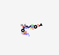 C[C@@H](/C=C/c1cnc(Oc2ccc(OCC3CC3)cc2Cl)s1)NC(=O)c1ccc(F)c(S(N)(=O)=O)c1